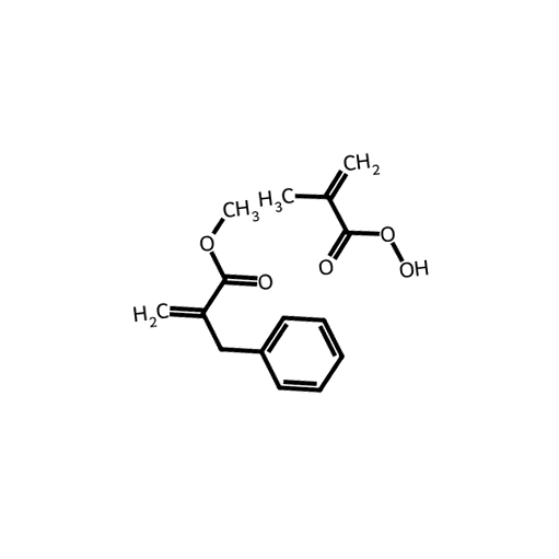 C=C(C)C(=O)OO.C=C(Cc1ccccc1)C(=O)OC